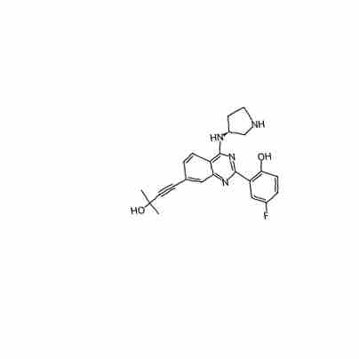 CC(C)(O)C#Cc1ccc2c(N[C@H]3CCNC3)nc(-c3cc(F)ccc3O)nc2c1